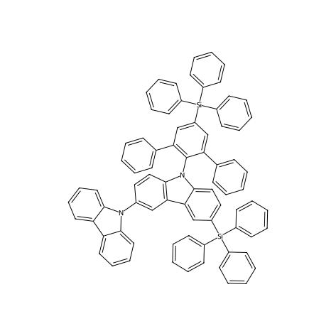 c1ccc(-c2cc([Si](c3ccccc3)(c3ccccc3)c3ccccc3)cc(-c3ccccc3)c2-n2c3ccc(-n4c5ccccc5c5ccccc54)cc3c3cc([Si](c4ccccc4)(c4ccccc4)c4ccccc4)ccc32)cc1